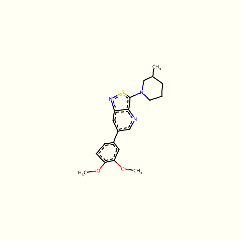 COc1ccc(-c2cnc3c(N4CCCC(C)C4)snc3c2)cc1OC